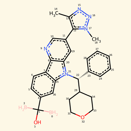 BC(B)(O)c1ccc2c3ncc(-c4c(C)nnn4C)cc3n([C@H](c3ccccc3)C3CCOCC3)c2c1